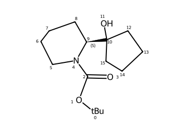 CC(C)(C)OC(=O)N1CCCC[C@H]1C1(O)CCCC1